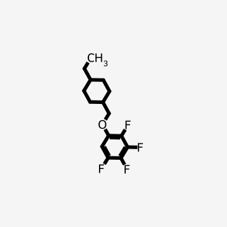 CCC1CCC(COc2cc(F)c(F)c(F)c2F)CC1